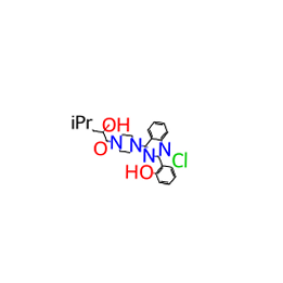 CC(C)C[C@@H](O)C(=O)N1CCN(c2nc(-c3c(O)cccc3Cl)nc3ccccc23)CC1